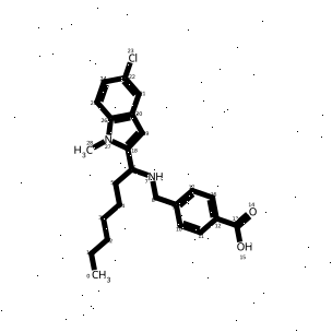 CCCCCCC(NCc1ccc(C(=O)O)cc1)c1cc2cc(Cl)ccc2n1C